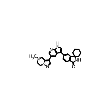 CN1CCn2ncc(-c3cnc4[nH]cc(-c5ccc6c(c5)C5(CCCCC5)NC6=O)c4c3)c2C1